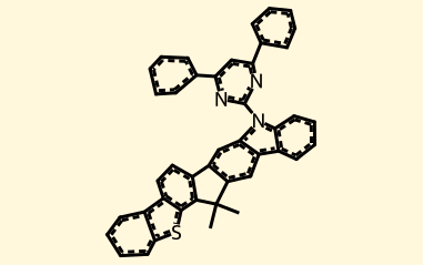 CC1(C)c2cc3c4ccccc4n(-c4nc(-c5ccccc5)cc(-c5ccccc5)n4)c3cc2-c2ccc3c(sc4ccccc43)c21